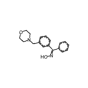 ON=C(c1ccccc1)c1cccc(CN2CCOCC2)c1